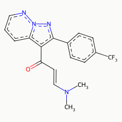 CN(C)C=CC(=O)c1c(-c2ccc(C(F)(F)F)cc2)nn2ncccc12